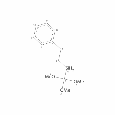 COC(OC)(OC)[SiH2]CCc1ccccc1